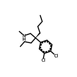 CCCC[C@@](CCC)(CNC)c1ccc(Cl)c(Cl)c1